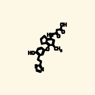 Cc1cc(NC(=O)CC(=O)O)c2c(c1Oc1ccc(O)c(CCc3nccs3)c1)CCC2